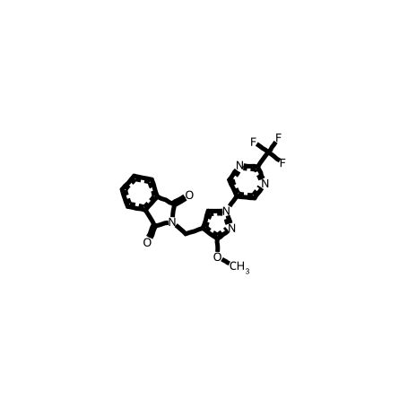 COc1nn(-c2cnc(C(F)(F)F)nc2)cc1CN1C(=O)c2ccccc2C1=O